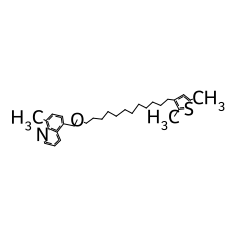 Cc1cc(CCCCCCCCCCCCOCc2ccc(C)c3ncccc23)c(C)s1